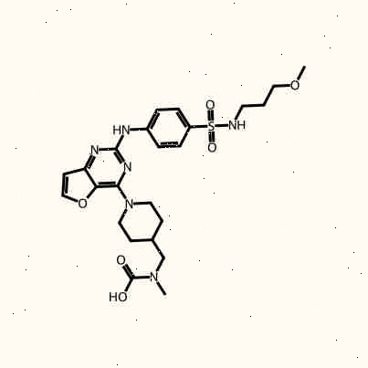 COCCCNS(=O)(=O)c1ccc(Nc2nc(N3CCC(CN(C)C(=O)O)CC3)c3occc3n2)cc1